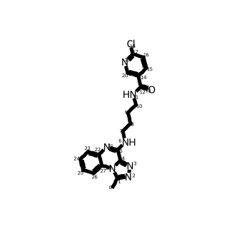 Cc1nnc2c(NCCCCNC(=O)c3ccc(Cl)nc3)nc3ccccc3n12